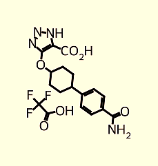 NC(=O)c1ccc(C2CCC(Oc3nn[nH]c3C(=O)O)CC2)cc1.O=C(O)C(F)(F)F